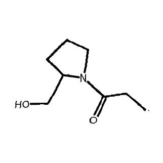 [CH2]CC(=O)N1CCCC1CO